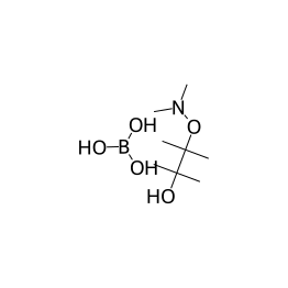 CN(C)OC(C)(C)C(C)(C)O.OB(O)O